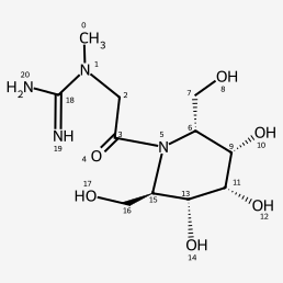 CN(CC(=O)N1[C@H](CO)[C@H](O)[C@H](O)[C@H](O)[C@H]1CO)C(=N)N